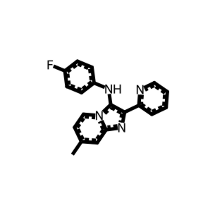 Cc1ccn2c(Nc3ccc(F)cc3)c(-c3ccccn3)nc2c1